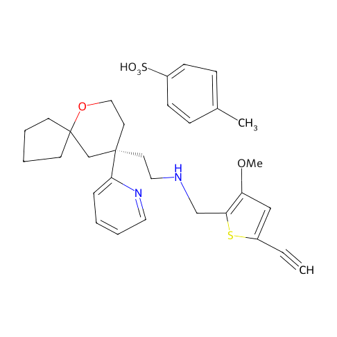 C#Cc1cc(OC)c(CNCC[C@@]2(c3ccccn3)CCOC3(CCCC3)C2)s1.Cc1ccc(S(=O)(=O)O)cc1